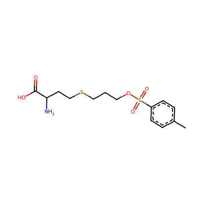 Cc1ccc(S(=O)(=O)OCCCSCCC(N)C(=O)O)cc1